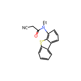 CCN(C(=O)CC#N)c1cccc2c1sc1ccccc12